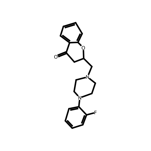 O=C1CC(CN2CCN(c3ccccc3F)CC2)Oc2ccccc21